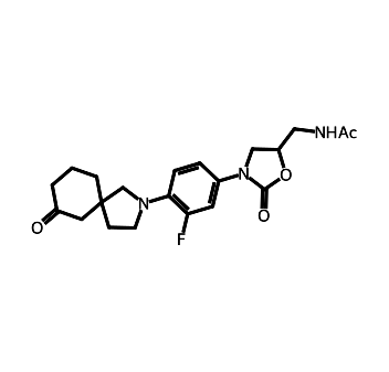 CC(=O)NCC1CN(c2ccc(N3CCC4(CCCC(=O)C4)C3)c(F)c2)C(=O)O1